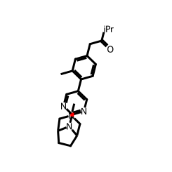 Cc1cc(CC(=O)C(C)C)ccc1-c1cnc(N2C3CCC2CN(C)C3)nc1